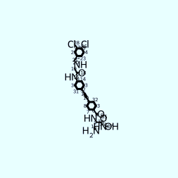 NC[C@H](NC(=O)c1ccc(C#Cc2ccc(NC(=O)CNCc3ccc(Cl)c(Cl)c3)cc2)cc1)C(=O)NO